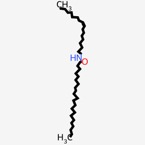 CCCCCCCC/C=C\CCCCCCCCNC(=O)CCCCCCCCCCCCCCCCCCCCC